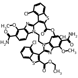 CCOC(=O)c1sc2cccc(Cl)c2c1-c1nc2c(OC)c(C(N)=O)ccc2n1CCn1c(-c2c(C(=O)OCC)sc3cccc(Cl)c23)nc2c(OC)c(C(N)=O)ccc21